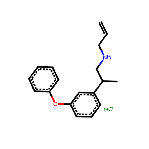 C=CCNCC(C)c1cccc(Oc2ccccc2)c1.Cl